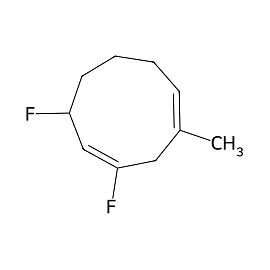 C/C1=C/CCCC(F)/C=C(/F)C1